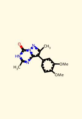 COc1ccc(-c2c(C)nn3c(=O)[nH]c(C)nc23)cc1OC